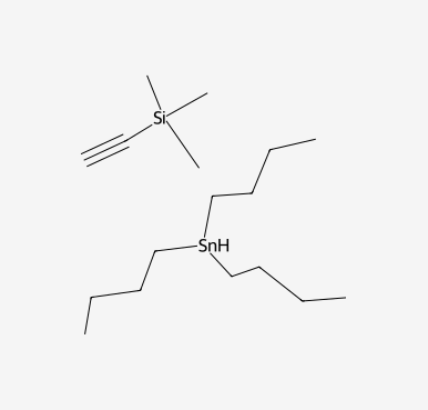 C#C[Si](C)(C)C.CCC[CH2][SnH]([CH2]CCC)[CH2]CCC